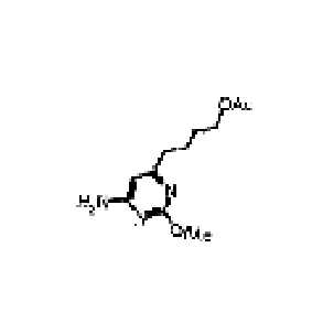 COc1nc(N)cc(CCCCOC(C)=O)n1